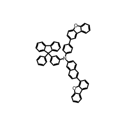 c1ccc(C2(c3cccc(N(c4ccc(-c5ccc6oc7ccccc7c6c5)cc4)c4ccc5cc(-c6cccc7c6oc6ccccc67)ccc5c4)c3)c3ccccc3-c3ccccc32)cc1